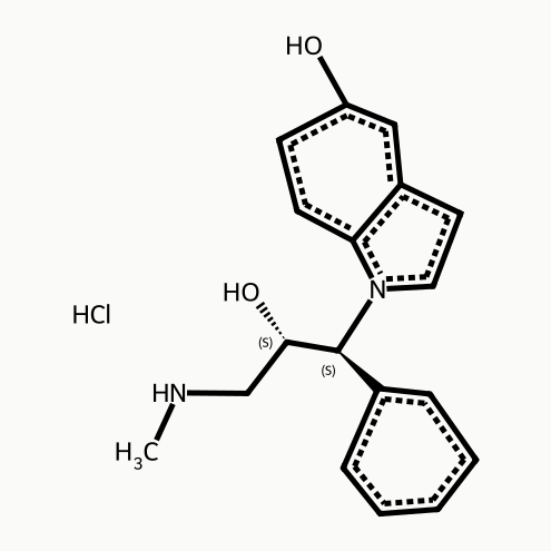 CNC[C@H](O)[C@H](c1ccccc1)n1ccc2cc(O)ccc21.Cl